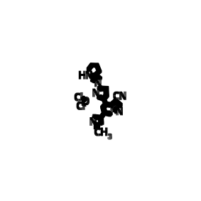 ClOCl.Cn1cc(-c2cc(-c3ccc(N4CC5(CCCCN5)C4)nc3)c3c(C#N)cnn3c2)cn1